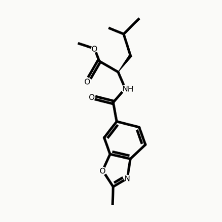 COC(=O)[C@@H](CC(C)C)NC(=O)c1ccc2nc(C)oc2c1